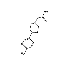 CC(C)(C)C(=O)ON1CCC(c2cnc(N)cn2)CC1